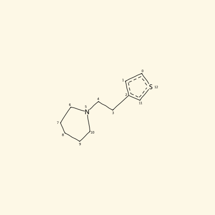 c1cc(CCN2CCCCC2)cs1